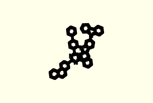 c1ccc(-c2ccc(-c3nc(-c4ccccc4)nc(-c4ccc5c(ccc6ccccc65)c4)n3)c(-n3c4ccccc4c4ccc(-n5c6ccccc6c6ccccc65)cc43)c2)cc1